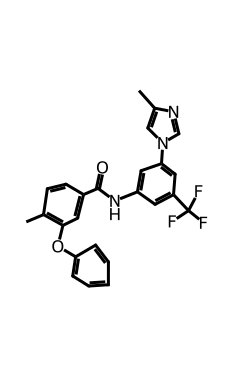 Cc1cn(-c2cc(NC(=O)c3ccc(C)c(Oc4ccccc4)c3)cc(C(F)(F)F)c2)cn1